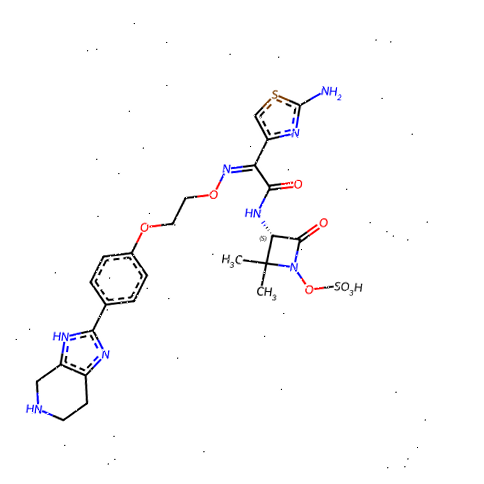 CC1(C)[C@H](NC(=O)C(=NOCCOc2ccc(-c3nc4c([nH]3)CNCC4)cc2)c2csc(N)n2)C(=O)N1OS(=O)(=O)O